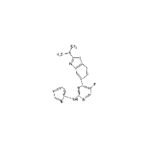 CN(C)c1nc2cc(-c3nc(Nc4cc[c]cn4)ncc3F)ccc2s1